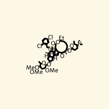 CC[C@H]1CCC[C@H](O[C@H]2CC[C@H](N(C)C)C(C)O2)[C@@H](C)C(=O)C2=C[C@H]3[C@@H]4C[C@H](O[C@@H]5OC(C)[C@H](OC)C(OC)C5OC)C[C@H]4[C@@H](C)[C@H](NCc4cc(Cl)ccc4Cl)[C@H]3[C@@H]2CC(=O)O1